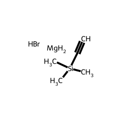 Br.C#C[Si](C)(C)C.[MgH2]